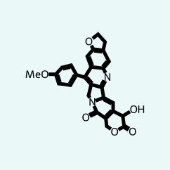 COc1ccc(-c2c3c(nc4cc5c(cc24)OCC5)-c2cc4c(c(=O)n2C3)COC(=O)C4O)cc1